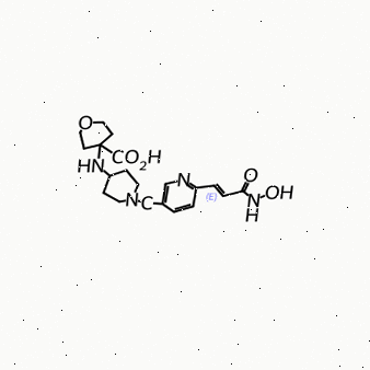 O=C(/C=C/c1ccc(CN2CCC(NC3(C(=O)O)CCOCC3)CC2)cn1)NO